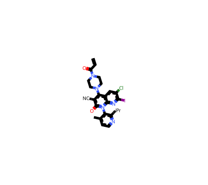 C=CC(=O)N1CCN(c2c(C#N)c(=O)n(-c3c(C)ccnc3C(C)C)c3nc(I)c(Cl)cc23)CC1